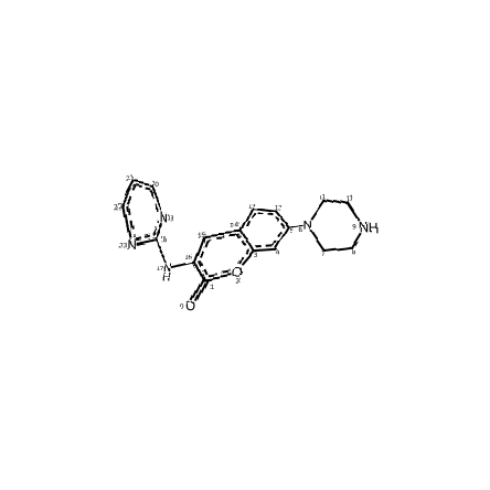 O=c1oc2cc(N3CCNCC3)ccc2cc1Nc1ncccn1